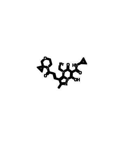 Cc1nn2c(O)c(C(=O)NC3CC3)c(=O)n(CC(C)C)c2c1C=CC(=O)N1CCOCC12CC2